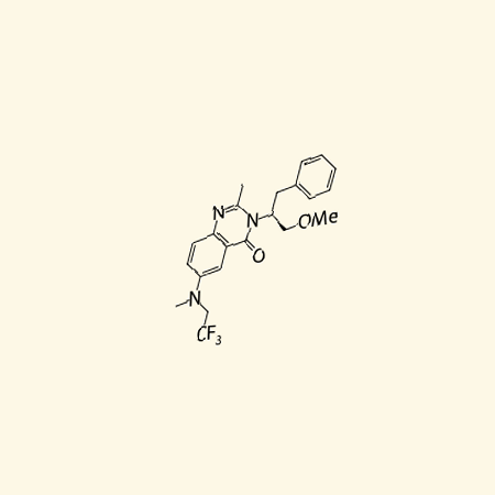 COC[C@H](Cc1ccccc1)n1c(C)nc2ccc(N(C)CC(F)(F)F)cc2c1=O